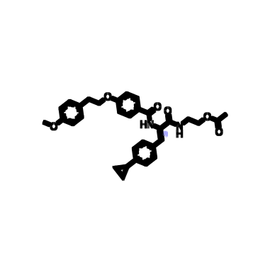 COc1ccc(CCOc2ccc(C(=O)N/C(=C\c3ccc(C4CC4)cc3)C(=O)NCCOC(C)=O)cc2)cc1